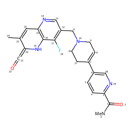 CNC(=O)c1ccc(C2=CCN(Cc3cnc4c(c3F)NC(=C=O)C(C)=C4)CC2)cn1